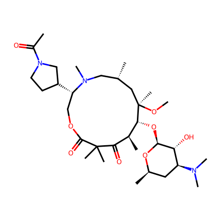 CO[C@]1(C)C[C@@H](C)CN(C)[C@@H](C2CCN(C(C)=O)C2)COC(=O)C(C)(C)C(=O)[C@H](C)[C@H]1O[C@@H]1O[C@H](C)C[C@H](N(C)C)[C@H]1O